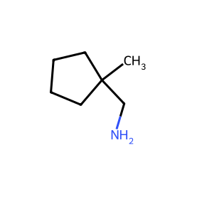 CC1(CN)CCCC1